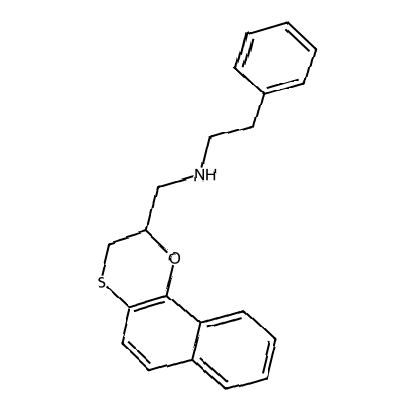 c1ccc(CCNCC2CSc3ccc4ccccc4c3O2)cc1